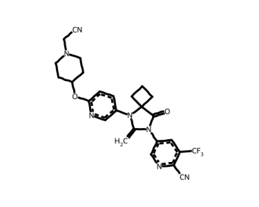 C=C1N(c2cnc(C#N)c(C(F)(F)F)c2)C(=O)C2(CCC2)N1c1ccc(OC2CCN(CC#N)CC2)nc1